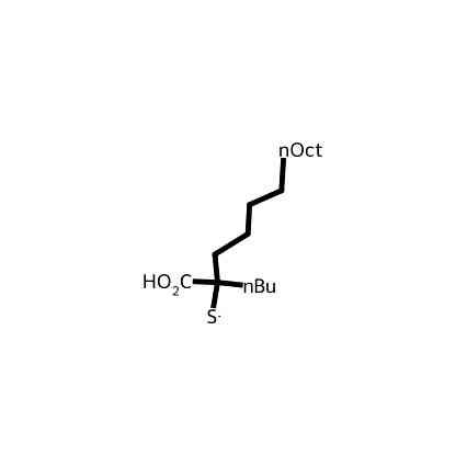 CCCCCCCCCCCCC([S])(CCCC)C(=O)O